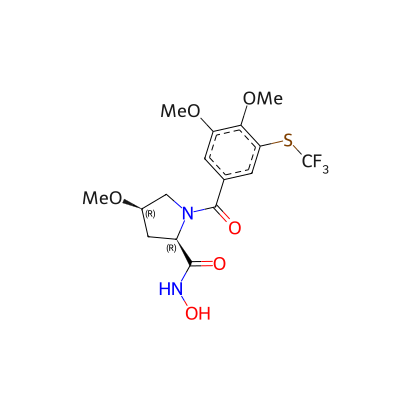 COc1cc(C(=O)N2C[C@H](OC)C[C@@H]2C(=O)NO)cc(SC(F)(F)F)c1OC